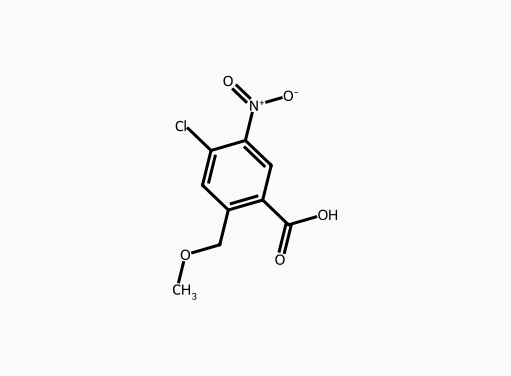 COCc1cc(Cl)c([N+](=O)[O-])cc1C(=O)O